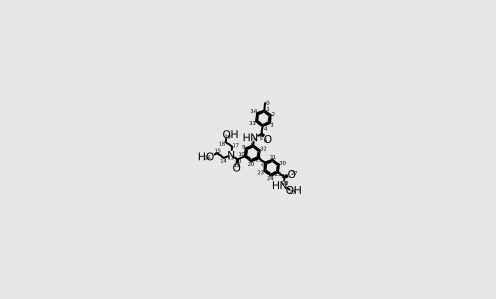 Cc1ccc(C(=O)Nc2cc(C(=O)N(CCO)CCO)cc(-c3ccc(C(=O)NO)cc3)c2)cc1